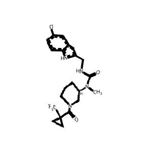 CN(C(=O)NCc1cc2cc(Cl)ccc2[nH]1)[C@@H]1CCCN(C(=O)C2(C(F)(F)F)CC2)C1